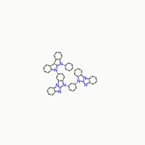 c1ccc(-n2c3ccccc3c3c4ccccc4n(-c4ccc5c(c4)n4c6ccccc6nc4n5-c4cccc(-n5c6ccccc6n6c7ccccc7nc56)c4)c32)cc1